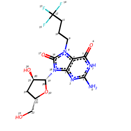 Nc1nc2c(c(=O)[nH]1)n(CCCC(F)(F)F)c(=O)n2[C@@H]1O[C@H](CO)C[C@H]1O